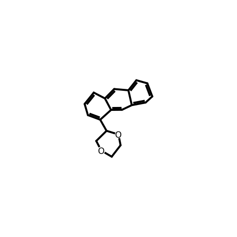 c1ccc2cc3c(C4COCCO4)cccc3cc2c1